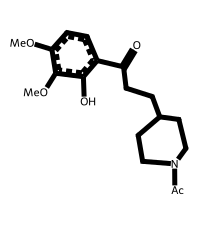 COc1ccc(C(=O)CCC2CCN(C(C)=O)CC2)c(O)c1OC